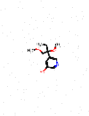 CCC(COC)(OC)c1cncc(O)c1